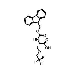 O=C(N[C@@H](COCC(F)(F)F)C(=O)O)OCC1c2ccccc2-c2ccccc21